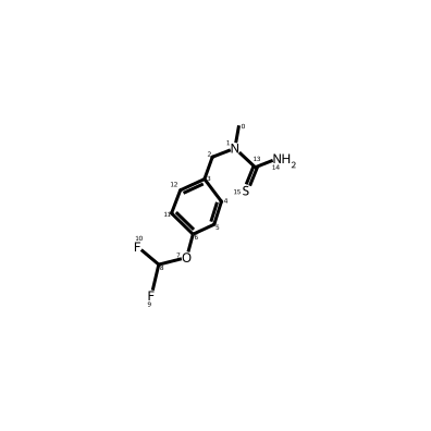 CN(Cc1ccc(OC(F)F)cc1)C(N)=S